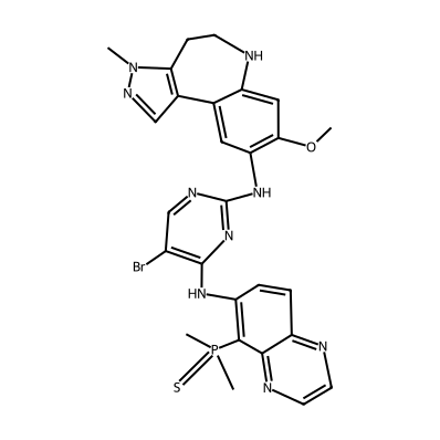 COc1cc2c(cc1Nc1ncc(Br)c(Nc3ccc4nccnc4c3P(C)(C)=S)n1)-c1cnn(C)c1CCN2